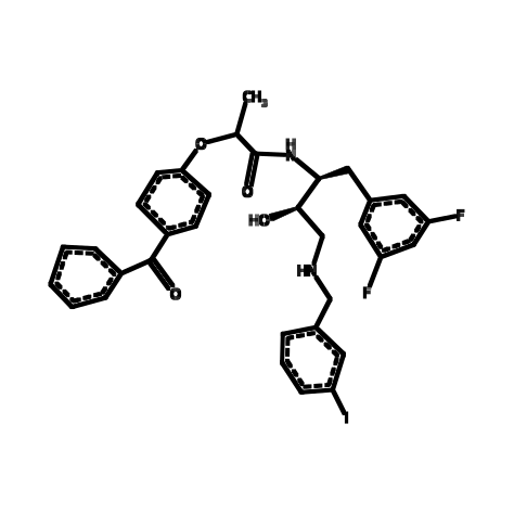 CC(Oc1ccc(C(=O)c2ccccc2)cc1)C(=O)N[C@@H](Cc1cc(F)cc(F)c1)[C@H](O)CNCc1cccc(I)c1